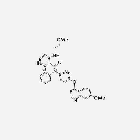 COCCNc1cc[nH]c(=O)c1C(=O)N(c1ccccc1)c1ccc(Oc2ccnc3cc(OC)ccc23)cn1